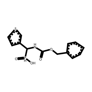 O=C(NC(c1ccsc1)[PH](=O)O)OCc1ccccc1